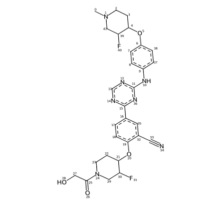 CN1CCC(Oc2ccc(Nc3ncnc(-c4ccc(OC5CCN(C(=O)CO)CC5F)c(C#N)c4)n3)cc2)C(F)C1